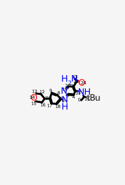 CC(Nc1cc(Nc2ccc(C3CCOCC3)cc2)ncc1C(N)=O)C(C)(C)C